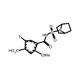 COc1cc(C(=O)O)c(F)cc1C(=O)NS(=O)(=O)N1C2CCC1CC2